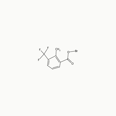 Cc1c(C(=O)OBr)cccc1C(F)(F)F